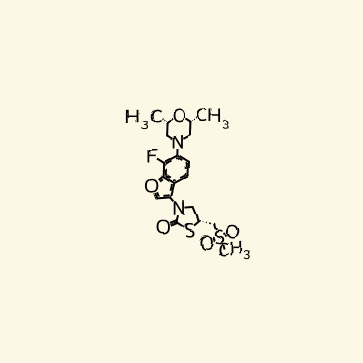 C[C@@H]1CN(c2ccc3c(N4C[C@H](CS(C)(=O)=O)SC4=O)coc3c2F)C[C@H](C)O1